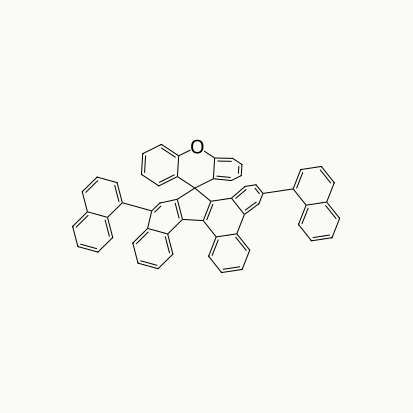 c1ccc2c(c1)Oc1ccccc1C21c2cc(-c3cccc4ccccc34)c3ccccc3c2-c2c1c1ccc(-c3cccc4ccccc34)cc1c1ccccc21